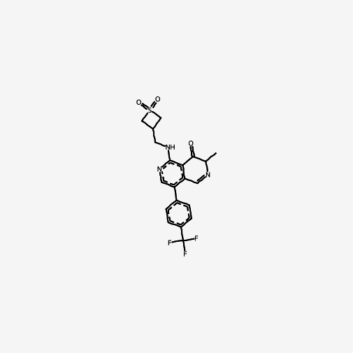 CC1N=Cc2c(-c3ccc(C(F)(F)F)cc3)cnc(NCC3CS(=O)(=O)C3)c2C1=O